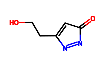 O=C1C=C(CCO)N=N1